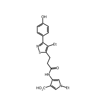 CCc1c(-c2ccc(O)cc2)nsc1CCC(=O)Nc1cn(CC)cc1C(=O)O